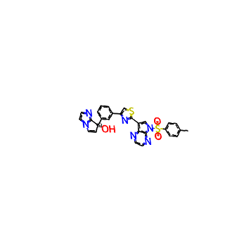 Cc1ccc(S(=O)(=O)n2cc(-c3nc(-c4cccc([C@@]5(O)C=Cn6ccnc65)c4)cs3)c3nccnc32)cc1